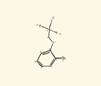 Oc1ccccc1OCC(F)(F)F